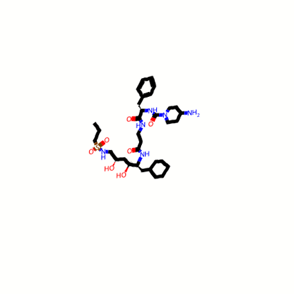 CCCS(=O)(=O)NC[C@@H](O)C[C@H](O)[C@H](CC1CCCCC1)NC(=O)CCNC(=O)[C@H](Cc1ccccc1)NC(=O)N1CCC(N)CC1